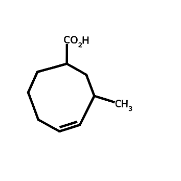 CC1C=CCCCC(C(=O)O)C1